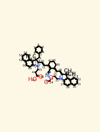 CC1(Cc2ccccc2)C(/C=C/C2=C(C#N)C(=C/C=C3\N(CCOC=O)c4ccc5ccccc5c4C3(C)C)/CCC2)=[N+](CCC(=O)O)c2ccc3ccccc3c21